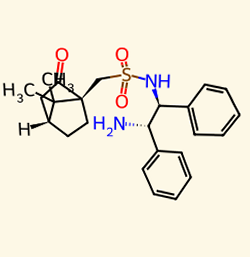 CC1(C)[C@@H]2CC[C@@]1(CS(=O)(=O)N[C@@H](c1ccccc1)[C@@H](N)c1ccccc1)C(=O)C2